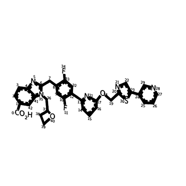 O=C(O)c1ccc2nc(Cc3cc(F)c(-c4cccc(OCc5ncc(-c6cccnc6)s5)n4)cc3F)n(CC3CCO3)c2c1